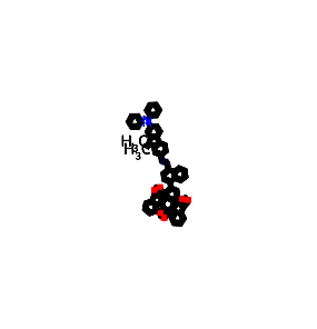 CC1(C)C2=C(CCC(/C=C/c3ccc(-c4ccc5c(c4)C4(c6ccccc6-c6ccccc64)c4ccccc4C54c5ccccc5-c5ccccc54)c4ccccc34)=C2)c2ccc(N(c3ccccc3)c3ccccc3)cc21